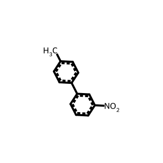 Cc1ccc(-c2cccc([N+](=O)[O-])c2)cc1